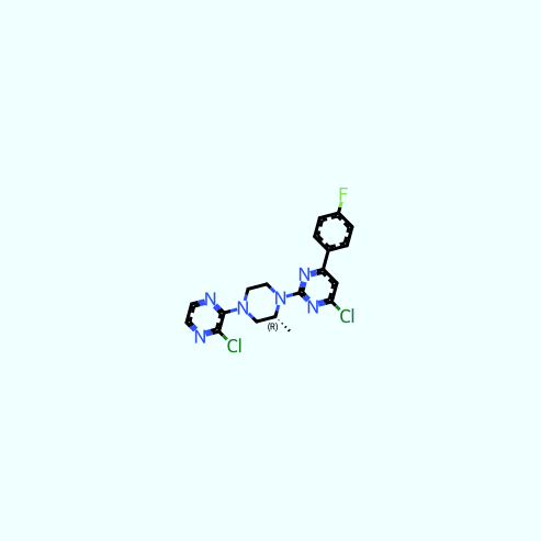 C[C@@H]1CN(c2nccnc2Cl)CCN1c1nc(Cl)cc(-c2ccc(F)cc2)n1